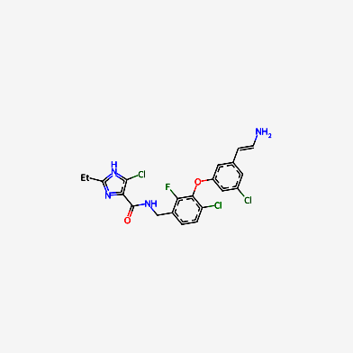 CCc1nc(C(=O)NCc2ccc(Cl)c(Oc3cc(Cl)cc(/C=C/N)c3)c2F)c(Cl)[nH]1